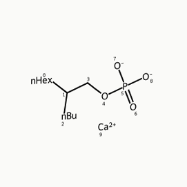 CCCCCCC(CCCC)COP(=O)([O-])[O-].[Ca+2]